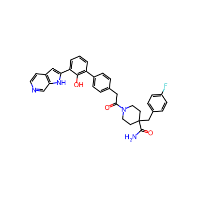 NC(=O)C1(Cc2ccc(F)cc2)CCN(C(=O)Cc2ccc(-c3cccc(-c4cc5ccncc5[nH]4)c3O)cc2)CC1